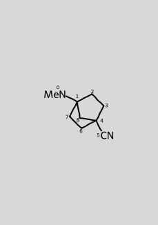 CNC12CCC(C#N)(CC1)C2